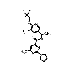 Cc1cc(C(=O)NC(C)c2cnc(OCC(F)(F)F)c(C)c2)nc(N2CCCC2)n1